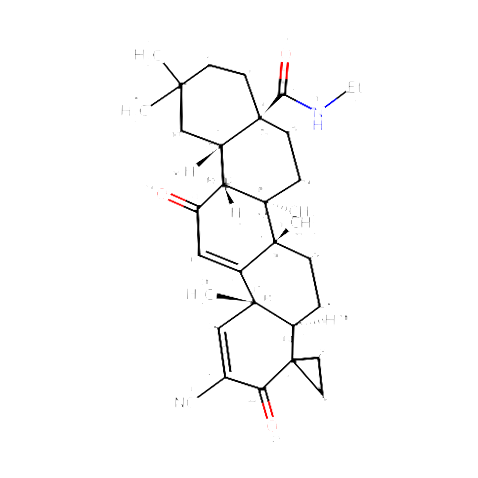 CCNC(=O)[C@]12CCC(C)(C)C[C@H]1[C@H]1C(=O)C=C3[C@@]4(C)C=C(C#N)C(=O)C5(CC5)[C@@H]4CC[C@@]3(C)[C@]1(C)CC2